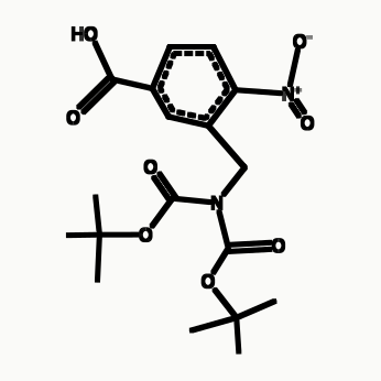 CC(C)(C)OC(=O)N(Cc1cc(C(=O)O)ccc1[N+](=O)[O-])C(=O)OC(C)(C)C